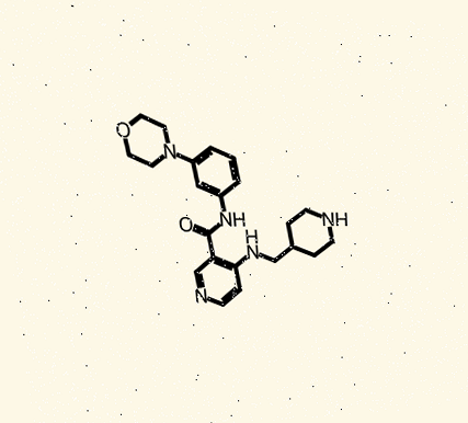 O=C(Nc1cccc(N2CCOCC2)c1)c1cnccc1NCC1CCNCC1